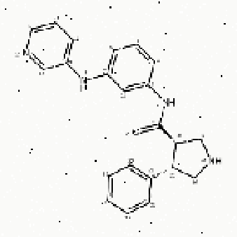 O=C(Nc1cccc(Nc2cccnc2)c1)[C@H]1CNC[C@@H]1c1ccccc1